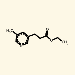 CCOC(=O)CCc1cncc(C)c1